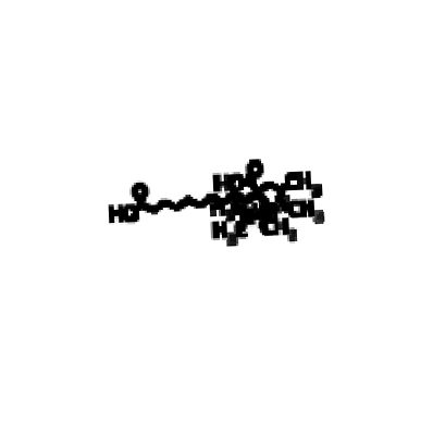 CC(CC(CCCCCCCCCC(=O)O)(CC(C)N(C)C)C(=O)O)N(C)C